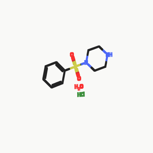 Cl.O.O=S(=O)(c1ccccc1)N1CCNCC1